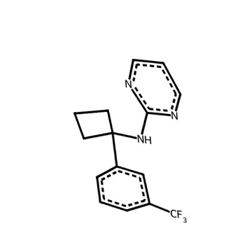 FC(F)(F)c1cccc(C2(Nc3ncccn3)CCC2)c1